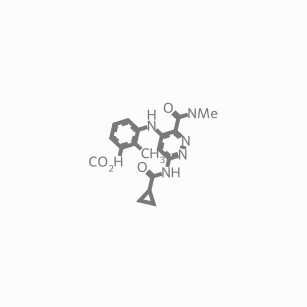 CNC(=O)c1nnc(NC(=O)C2CC2)cc1Nc1cccc(C(=O)O)c1C